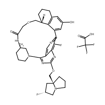 C[C@@]12CCCN(C1)c1nc(OC[C@@]34CCCN3C[C@H](F)C4)nc3c(F)c(ncc13)-c1cc(O)cc3c1[C@H](CCCC(=O)N2)CCC3.O=C(O)C(F)(F)F